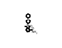 CC1c2cccc(C(N)=O)c2C(=O)N1C1CCN(C2CCCCC2)CC1